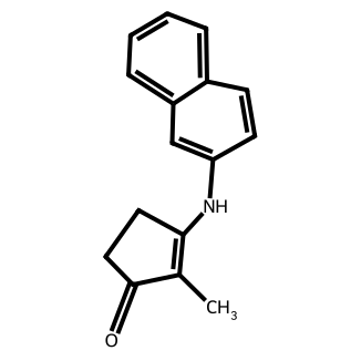 CC1=C(Nc2ccc3ccccc3c2)CCC1=O